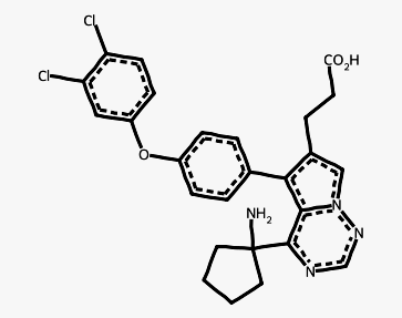 NC1(c2ncnn3cc(CCC(=O)O)c(-c4ccc(Oc5ccc(Cl)c(Cl)c5)cc4)c23)CCCC1